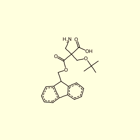 CC(C)(C)OCC(CN)(C(=O)O)C(=O)OCC1c2ccccc2-c2ccccc21